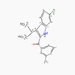 O=C(c1cccc(C(F)(F)F)c1)c1[nH]c2cc(Cl)ccc2c1C(C(=O)O)C(=O)O